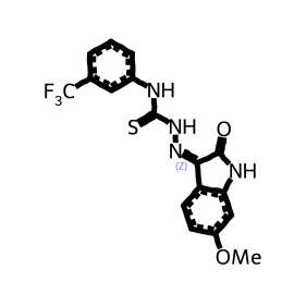 COc1ccc2c(c1)NC(=O)/C2=N\NC(=S)Nc1cccc(C(F)(F)F)c1